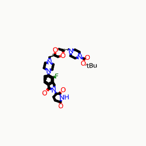 CC(C)(C)OC(=O)N1CCN(C[C@H]2CO[C@H](CN3CCN(c4ccc5c(c4F)CN(C4CCC(=O)NC4=O)C5=O)CC3)CO2)CC1